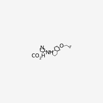 O=C(O)c1ccncc1NC[C@@H]1CCCc2cc(OCCC3CC3)ccc21